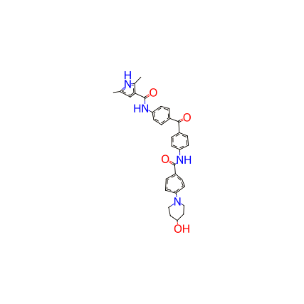 Cc1cc(C(=O)Nc2ccc(C(=O)c3ccc(NC(=O)c4ccc(N5CCC(O)CC5)cc4)cc3)cc2)c(C)[nH]1